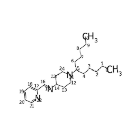 CCCCCC(CCCCC)N1CCC(N=Cc2ccccn2)CC1